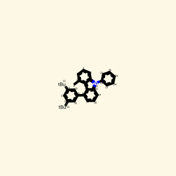 Cc1cccc2c1c1c(-c3cc(C(C)(C)C)cc(C(C)(C)C)c3)cccc1n2-c1ccccc1